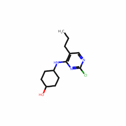 CCCc1cnc(Cl)nc1NC1CCC(O)CC1